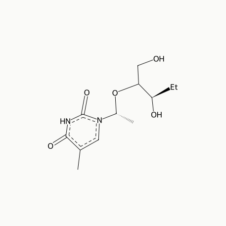 CC[C@@H](O)C(CO)O[C@H](C)n1cc(C)c(=O)[nH]c1=O